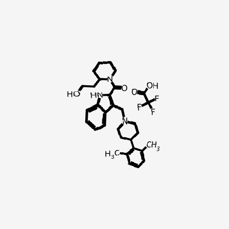 Cc1cccc(C)c1C1CCN(Cc2c(C(=O)N3CCCCC3CCO)[nH]c3ccccc23)CC1.O=C(O)C(F)(F)F